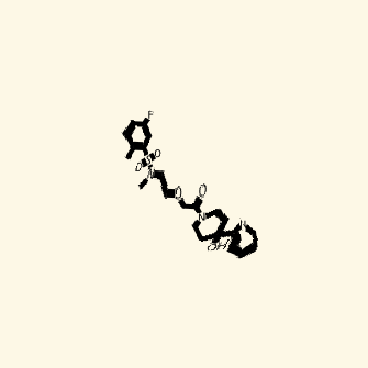 Cc1ccc(F)cc1S(=O)(=O)N(C)CCOCC(=O)N1CCC(O)(c2ccccn2)CC1